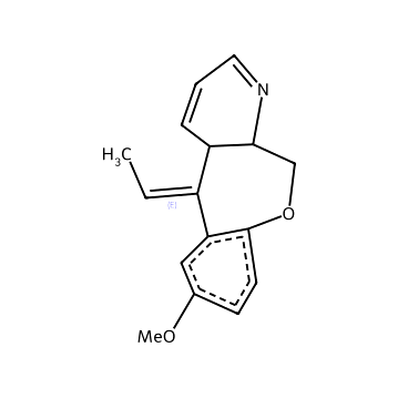 C/C=C1/c2cc(OC)ccc2OCC2N=CC=CC12